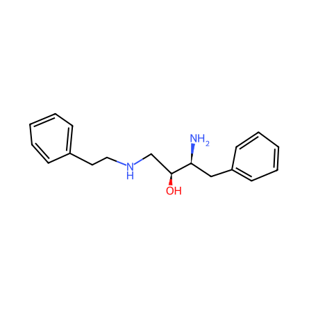 N[C@@H](Cc1ccccc1)[C@@H](O)CNCCc1ccccc1